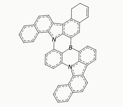 C1=Cc2cc3c4c(c2CC1)c1ccc2ccccc2c1n4-c1cccc2c1B3c1cccc3c4ccc5ccccc5c4n-2c13